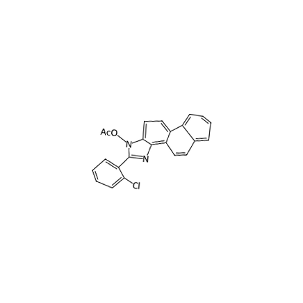 CC(=O)On1c(-c2ccccc2Cl)nc2c3ccc4ccccc4c3ccc21